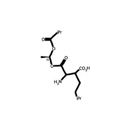 CC(C)CCC(C(=O)O)C(N)C(=O)O[C@@H](C)OC(=O)C(C)C